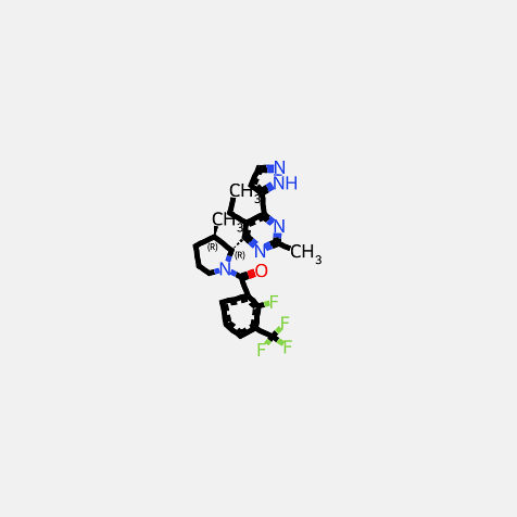 CCc1c(-c2ccn[nH]2)nc(C)nc1[C@H]1[C@H](C)CCCN1C(=O)c1cccc(C(F)(F)F)c1F